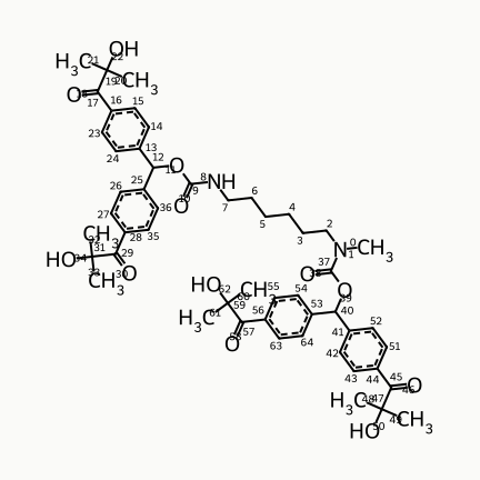 CN(CCCCCCNC(=O)OC(c1ccc(C(=O)C(C)(C)O)cc1)c1ccc(C(=O)C(C)(C)O)cc1)C(=O)OC(c1ccc(C(=O)C(C)(C)O)cc1)c1ccc(C(=O)C(C)(C)O)cc1